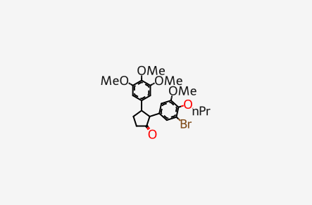 CCCOc1c(Br)cc(C2C(=O)CCC2c2cc(OC)c(OC)c(OC)c2)cc1OC